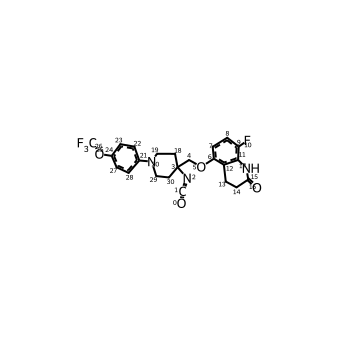 O=C=NC1(COc2ccc(F)c3c2CCC(=O)N3)CCN(c2ccc(OC(F)(F)F)cc2)CC1